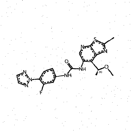 CO[C@@H](C)c1c(NC(=O)Nc2ccc(-n3nccn3)c(F)c2)cnc2sc(C)nc12